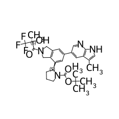 Cc1c[nH]c2ncc(-c3cc4c(c([C@@H]5CCCN5C(=O)OC(C)(C)C)c3)CN(C(=O)[C@](C)(O)C(F)(F)F)C4)cc12